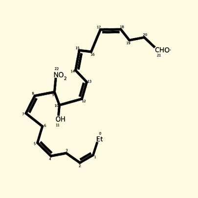 CC/C=C\C/C=C\C/C=C\C(C(O)/C=C\C=C/C/C=C\CC[C]=O)[N+](=O)[O-]